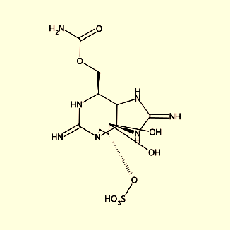 N=C1NC2[C@H](COC(N)=O)NC(=N)N3C[C@@H](OS(=O)(=O)O)C(O)(O)[C@]23N1